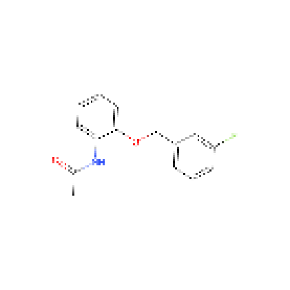 CC(=O)Nc1ccccc1OCc1cccc(F)c1